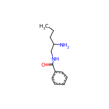 CCCC(N)CNC(=O)c1ccccc1